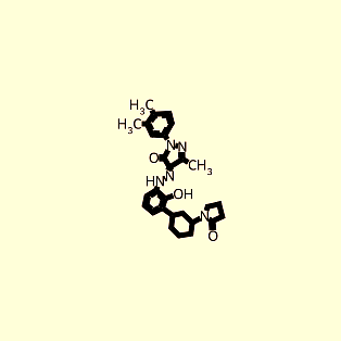 CC1=NN(c2ccc(C)c(C)c2)C(=O)C1=NNc1cccc(C2CCCC(N3CCCC3=O)C2)c1O